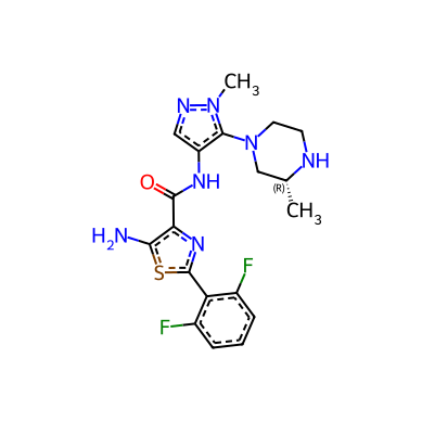 C[C@@H]1CN(c2c(NC(=O)c3nc(-c4c(F)cccc4F)sc3N)cnn2C)CCN1